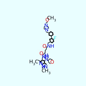 CCc1nc2c(cnn2CC)c(NC2CCOCC2)c1CNC(=O)CCCC(=O)NCc1ccc(F)c(-c2cccc(CN3CCN(CCOC)CC3)c2)c1